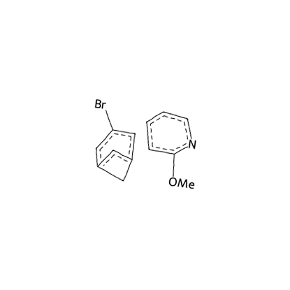 Brc1cc2cc(c1)C2.COc1ccccn1